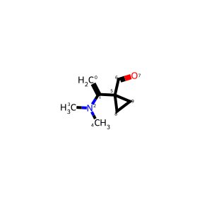 C=C(N(C)C)C1(C=O)CC1